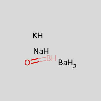 B=O.[BaH2].[KH].[NaH]